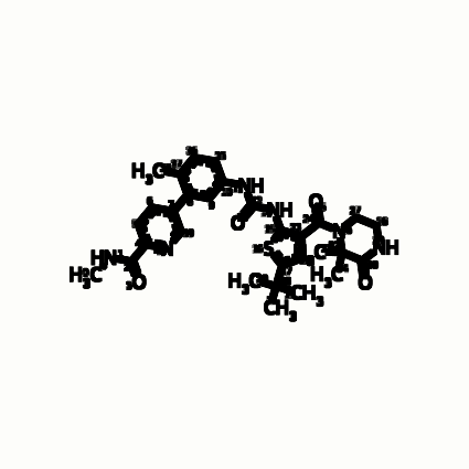 CNC(=O)c1ccc(-c2cc(NC(=O)Nc3sc(C(C)(C)C)cc3C(=O)N3CCNC(=O)C3(C)C)ccc2C)cn1